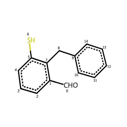 O=Cc1cccc(S)c1Cc1ccccc1